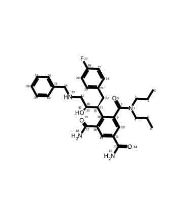 CCCN(CCC)C(=O)c1cc(C(N)=O)cc(C(N)=O)c1[C@H](Cc1ccc(F)cc1)[C@@H](O)CNCc1ccccc1